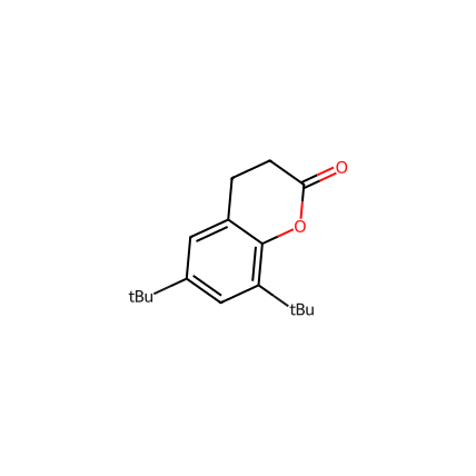 CC(C)(C)c1cc2c(c(C(C)(C)C)c1)OC(=O)CC2